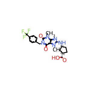 Cn1c(N[C@@H]2CC[C@H](C(=O)O)C2)nc2c1c(=O)n(Cc1ccc(C(F)(F)F)cc1)c(=O)n2C